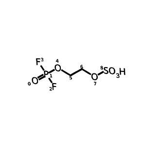 O=P(F)(F)OCCOS(=O)(=O)O